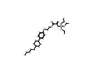 C=C(C[Si](OCC)(OCC)OCC)C(=O)OCCOc1ccc(C2CCC(CCCCC)CC2)cc1